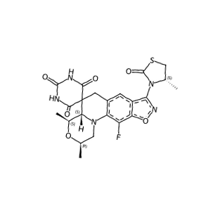 C[C@@H]1CN2c3c(cc4c(N5C(=O)SC[C@@H]5C)noc4c3F)CC3(C(=O)NC(=O)NC3=O)[C@H]2[C@H](C)O1